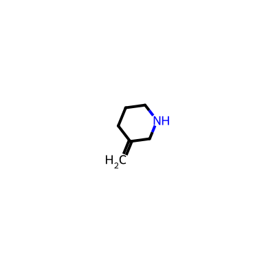 C=C1CCCNC1